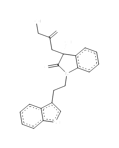 CCC(=O)C[C@]1(O)C(=O)N(CCc2c[nH]c3ccccc23)c2ccccc21